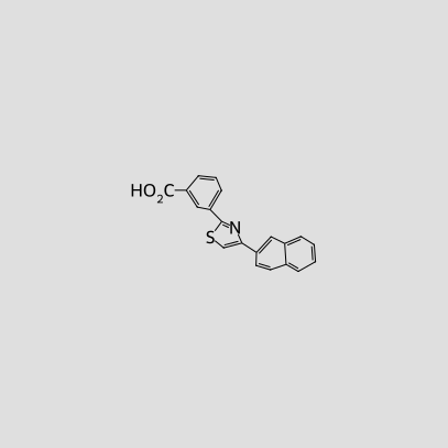 O=C(O)c1cccc(-c2nc(-c3ccc4ccccc4c3)cs2)c1